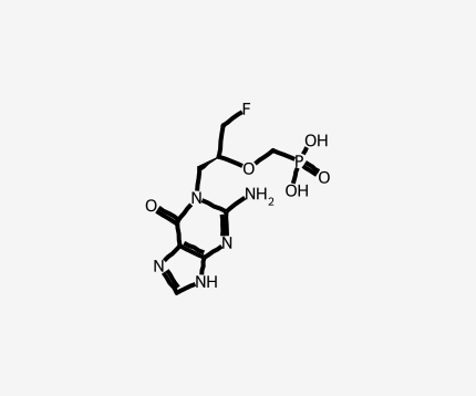 Nc1nc2[nH]cnc2c(=O)n1C[C@@H](CF)OCP(=O)(O)O